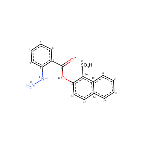 NNc1ccccc1C(=O)Oc1ccc2ccccc2c1S(=O)(=O)O